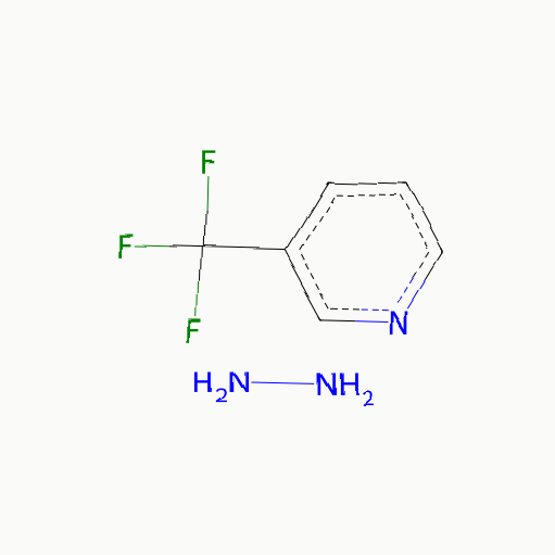 FC(F)(F)c1cccnc1.NN